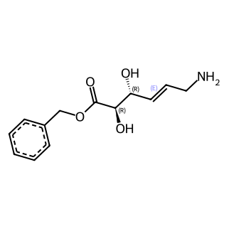 NC/C=C/[C@@H](O)[C@@H](O)C(=O)OCc1ccccc1